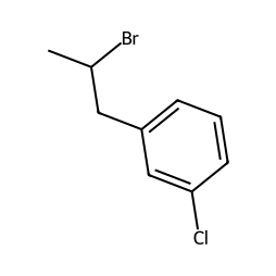 CC(Br)Cc1cccc(Cl)c1